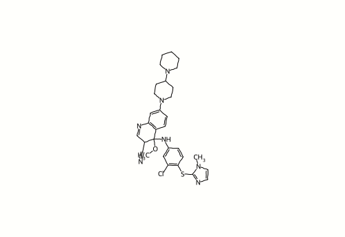 COC1(Nc2ccc(Sc3nccn3C)c(Cl)c2)c2ccc(N3CCC(N4CCCCC4)CC3)cc2N=CC1C#N